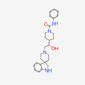 O=C(Nc1ccccc1)N1CCC(C(O)CN2CCC3(CC2)CNc2ccccc23)CC1